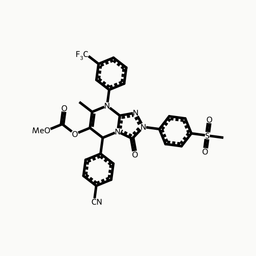 COC(=O)OC1=C(C)N(c2cccc(C(F)(F)F)c2)c2nn(-c3ccc(S(C)(=O)=O)cc3)c(=O)n2C1c1ccc(C#N)cc1